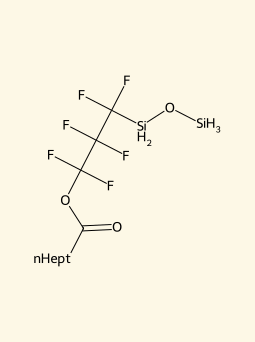 CCCCCCCC(=O)OC(F)(F)C(F)(F)C(F)(F)[SiH2]O[SiH3]